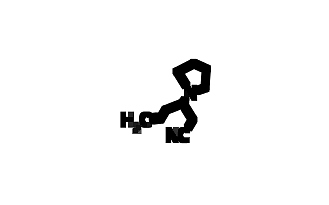 C=CCC(CC#N)N1CCCC1